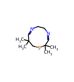 CC1(C)C=NCCN=CC(C)(C)SC1